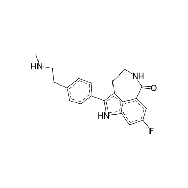 CNCCc1ccc(-c2[nH]c3cc(F)cc4c3c2CCNC4=O)cc1